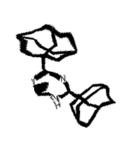 C1=NC(C23CC4CC(CC(C4)C2)C3)=N[C](C23CC4CC(CC(C4)C2)C3)N1